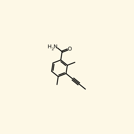 CC#Cc1c(C)ccc(C(N)=O)c1C